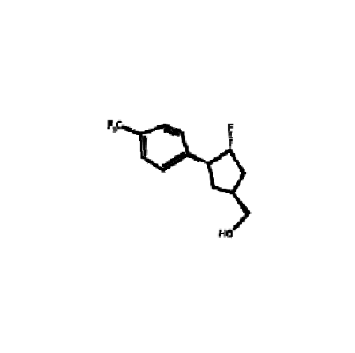 OC[C@@H]1C[C@@H](F)[C@H](c2ccc(C(F)(F)F)cc2)C1